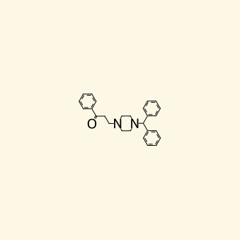 O=C(CCN1CCN(C(c2ccccc2)c2ccccc2)CC1)c1ccccc1